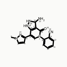 Cn1ccc(-c2cn(-c3ccccc3C#N)c(=O)c3c2NNC3N)n1